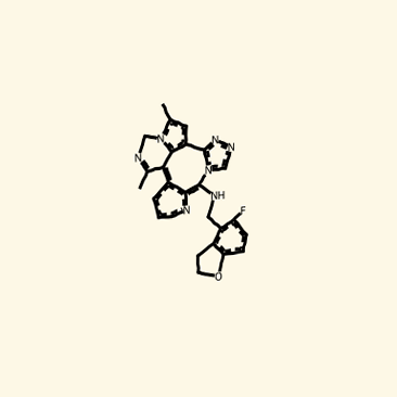 CC1=NCn2c(C)cc3c2C1=c1cccnc1=C(NCc1c(F)ccc2c1CCO2)n1cnnc1-3